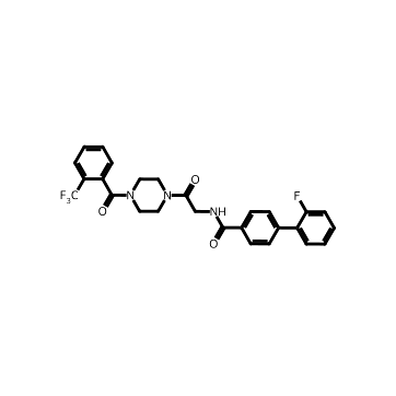 O=C(NCC(=O)N1CCN(C(=O)c2ccccc2C(F)(F)F)CC1)c1ccc(-c2ccccc2F)cc1